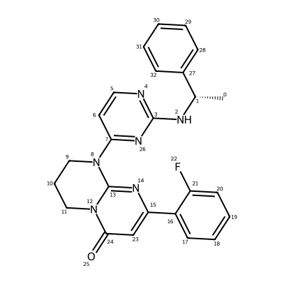 C[C@H](Nc1nccc(N2CCCn3c2nc(-c2ccccc2F)cc3=O)n1)c1ccccc1